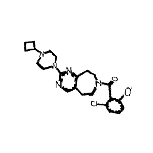 O=C(c1c(Cl)cccc1Cl)N1CCc2cnc(N3CCN(C4CCC4)CC3)nc2CC1